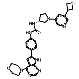 O=C(Nc1ccc(-c2cc3c(N4CCOCC4)ncnc3[nH]2)cc1)N[C@@H]1CCN(c2cncc(C3CNC3)c2)C1